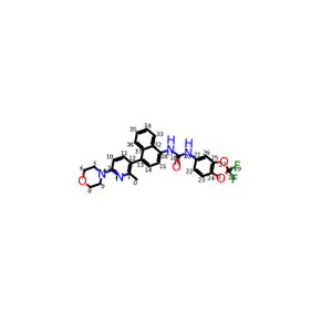 Cc1nc(N2CCOCC2)ccc1-c1ccc(NC(=O)Nc2ccc3c(c2)OC(F)(F)O3)c2ccccc12